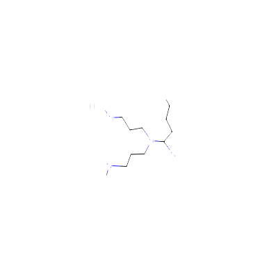 CCCCC(N)N(CCC[15NH]C)CCC[15NH]C.[Cu]